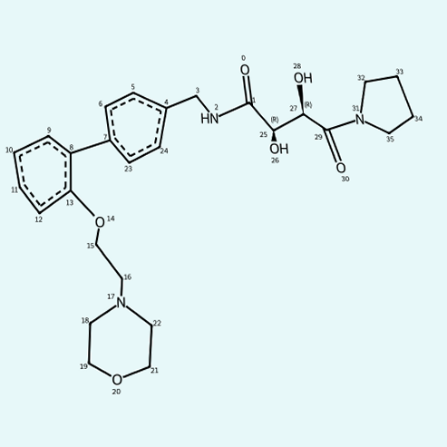 O=C(NCc1ccc(-c2ccccc2OCCN2CCOCC2)cc1)[C@H](O)[C@@H](O)C(=O)N1CCCC1